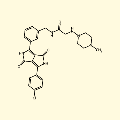 CN1CCN(NCC(=O)NCc2cccc(C3=C4C(=O)NC(c5ccc(Cl)cc5)=C4C(=O)N3)c2)CC1